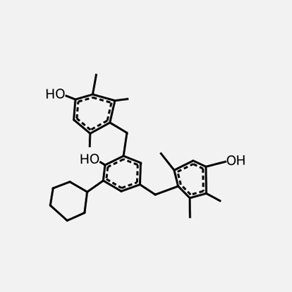 Cc1cc(O)c(C)c(C)c1Cc1cc(Cc2c(C)cc(O)c(C)c2C)c(O)c(C2CCCCC2)c1